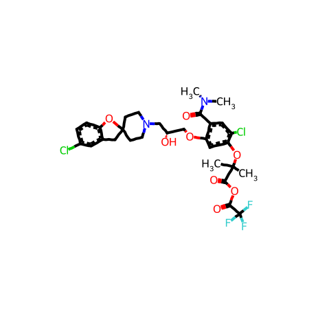 CN(C)C(=O)c1cc(Cl)c(OC(C)(C)C(=O)OC(=O)C(F)(F)F)cc1OC[C@H](O)CN1CCC2(CC1)Cc1cc(Cl)ccc1O2